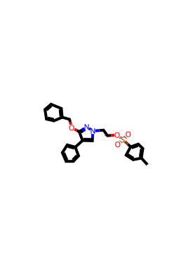 Cc1ccc(S(=O)(=O)O[CH]Cn2cc(-c3ccccc3)c(OCc3ccccc3)n2)cc1